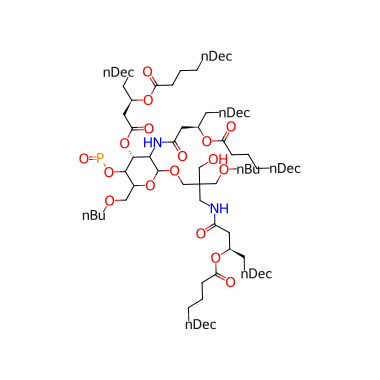 CCCCCCCCCCCCCC(=O)O[C@H](CCCCCCCCCCC)CC(=O)NCC(CO)(COCCCC)COC1OC(COCCCC)C(OP=O)[C@H](OC(=O)C[C@@H](CCCCCCCCCCC)OC(=O)CCCCCCCCCCCCC)C1NC(=O)C[C@@H](CCCCCCCCCCC)OC(=O)CCCCCCCCCCCCC